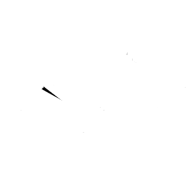 Cc1ccsc1[C@@H]1C[C@H]1C1(C)CC1